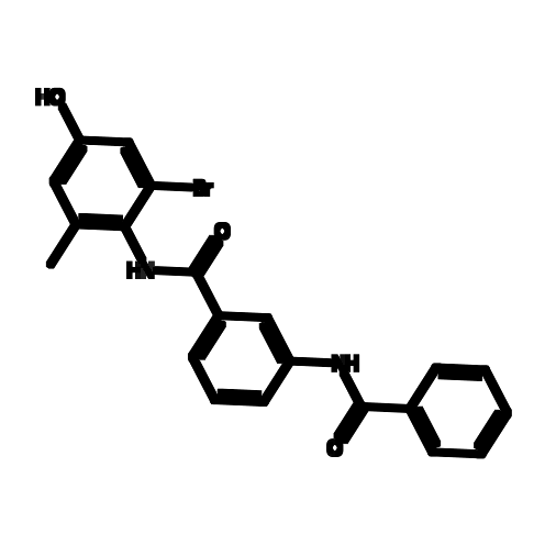 Cc1cc(O)cc(Br)c1NC(=O)c1cccc(NC(=O)c2ccccc2)c1